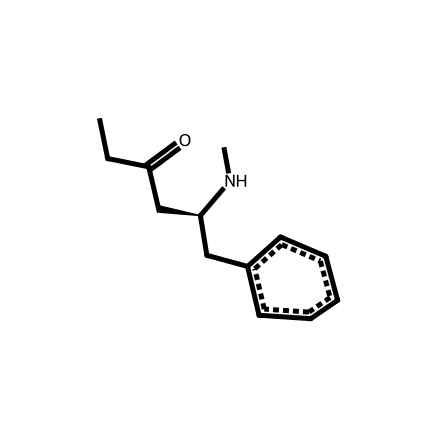 CCC(=O)C[C@H](Cc1ccccc1)NC